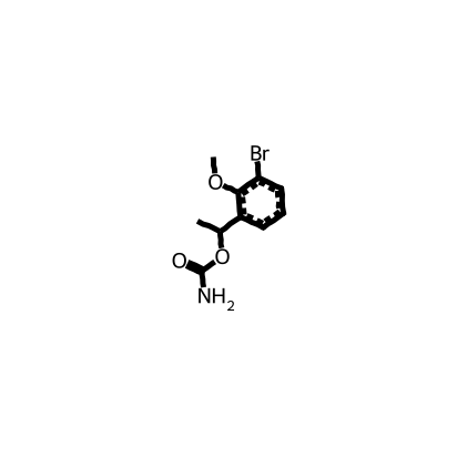 COc1c(Br)cccc1C(C)OC(N)=O